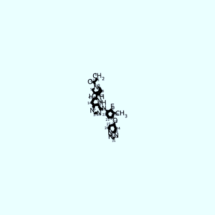 C=CC(=O)N1C[C@H]2CCC1C[C@@H]2c1ccc2ncnc(Nc3ccc(Oc4ccn5ncnc5c4)c(C)c3F)c2n1